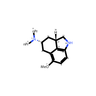 CCCN(CCC)[C@H]1Cc2c(OC)ccc3c2[C@@H](CN3)C1